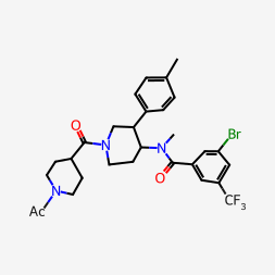 CC(=O)N1CCC(C(=O)N2CCC(N(C)C(=O)c3cc(Br)cc(C(F)(F)F)c3)C(c3ccc(C)cc3)C2)CC1